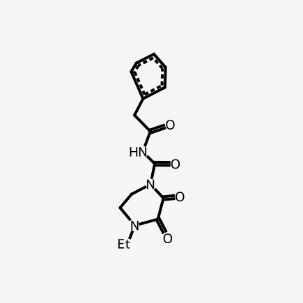 CCN1CCN(C(=O)NC(=O)Cc2ccccc2)C(=O)C1=O